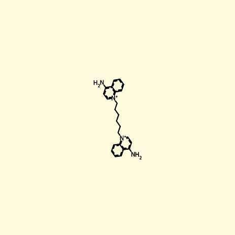 Nc1cc[n+](CCCCCC[n+]2ccc(N)c3ccccc32)c2ccccc12